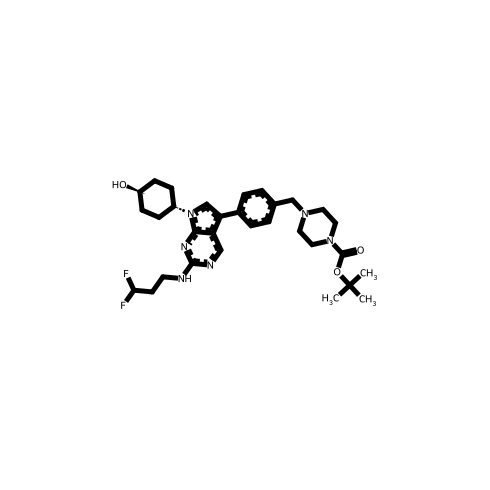 CC(C)(C)OC(=O)N1CCN(Cc2ccc(-c3cn([C@H]4CC[C@H](O)CC4)c4nc(NCCC(F)F)ncc34)cc2)CC1